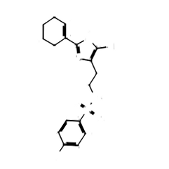 Cc1ccc(S(=O)(=O)OCCc2nc(C3=CCCCC3)oc2C)cc1